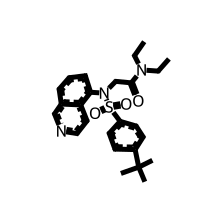 CCN(CC)C(=O)CN(c1cccc2cnccc12)S(=O)(=O)c1ccc(C(C)(C)C)cc1